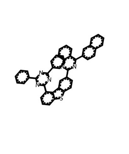 c1ccc(-c2nc(-c3ccccc3)nc(-c3cccc4sc5ccc(-c6nc(-c7ccc8ccccc8c7)c7ccccc7n6)cc5c34)n2)cc1